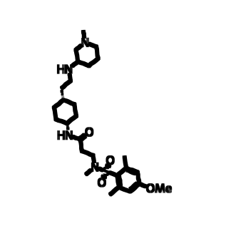 COc1cc(C)c(S(=O)(=O)N(C)CCC(=O)N[C@H]2CC[C@@H](CCNC3CCCN(C)C3)CC2)c(C)c1